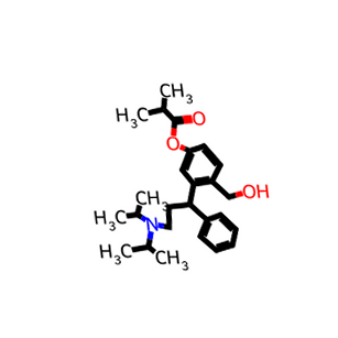 CC(C)C(=O)Oc1ccc(CO)c(C(CCN(C(C)C)C(C)C)c2ccccc2)c1